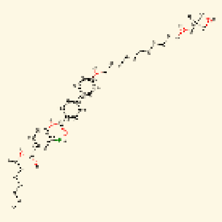 CCCCCC[C@@H](C)OC(=O)c1ccc(OC(=O)c2ccc(-c3ccc(OCCCCCCCCCCCOCC4(C)COC4)cc3)cc2)c(F)c1